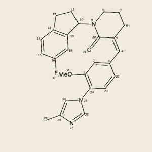 COc1cc(C=C2CCCN(C3CCc4ccc(F)cc43)C2=O)ccc1-n1cnc(C)c1